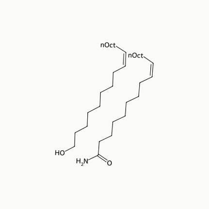 CCCCCCCC/C=C\CCCCCCCC(N)=O.CCCCCCCC/C=C\CCCCCCCCO